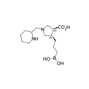 O=C(O)[C@@H]1CN(CC2CCCCN2)C[C@@H]1CCCB(O)O